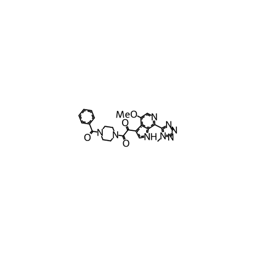 COc1cnc(-c2nnnn2C)c2[nH]cc(C(=O)C(=O)N3CCN(C(=O)c4ccccc4)CC3)c12